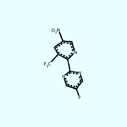 O=[N+]([O-])c1cnc(-c2ncc(F)cn2)c(C(F)(F)F)c1